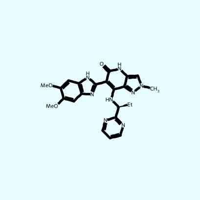 CC[C@H](Nc1c(-c2nc3cc(OC)c(OC)cc3[nH]2)c(=O)[nH]c2cn(C)nc12)c1ncccn1